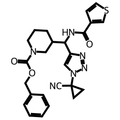 N#CC1(n2cc(C(NC(=O)c3ccsc3)C3CCCN(C(=O)OCc4ccccc4)C3)nn2)CC1